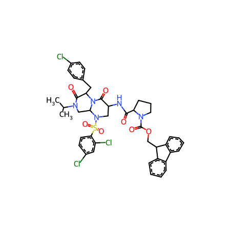 CC(C)N1CC2N(C(=O)C(NC(=O)C3CCCN3C(=O)OCC3c4ccccc4-c4ccccc43)CN2S(=O)(=O)c2ccc(Cl)cc2Cl)C(Cc2ccc(Cl)cc2)C1=O